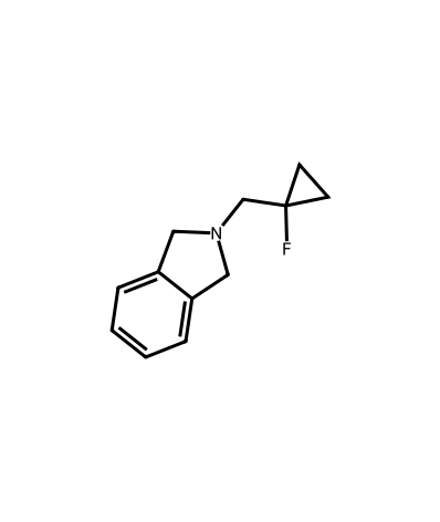 FC1(CN2Cc3ccccc3C2)CC1